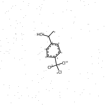 CC(O)c1ccc(C(Cl)(Cl)Cl)cc1